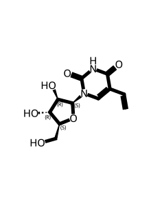 C=Cc1cn([C@H]2O[C@@H](CO)[C@H](O)[C@H]2O)c(=O)[nH]c1=O